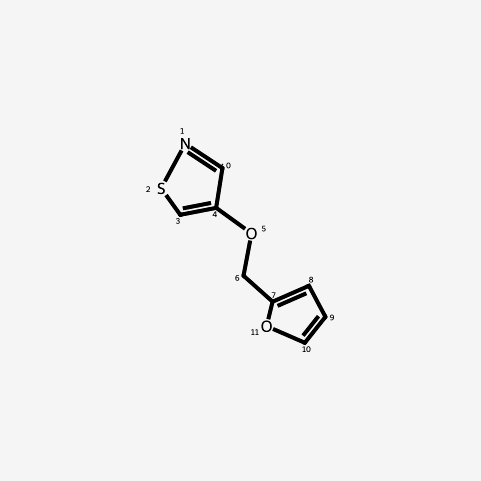 [c]1nscc1OCc1ccco1